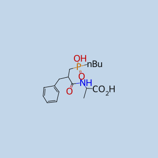 CCCCP(=O)(O)CC(Cc1ccccc1)C(=O)NC(C)C(=O)O